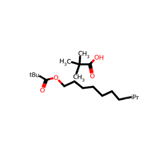 CC(C)(C)C(=O)O.CC(C)CCCCCCCOC(=O)C(C)(C)C